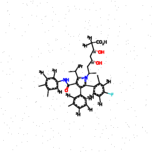 [2H]c1c([2H])c(C)c([2H])c(-c2c(C(=O)Nc3c([2H])c([2H])c(C)c(C)c3[2H])c(C(C)C(C)C)n(C(C)C[C@@H](O)C[C@@H](O)C([2H])([2H])C(=O)O)c2-c2c([2H])c([2H])c(F)c([2H])c2C)c1[2H]